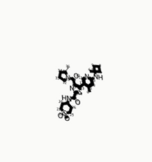 Cc1cc(NC2(C)CCC2)ncc1-c1sc(C(=O)NC2CCS(=O)(=O)CC2)nc1C(=O)N1CCC[C@@H]1C